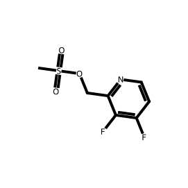 CS(=O)(=O)OCc1nccc(F)c1F